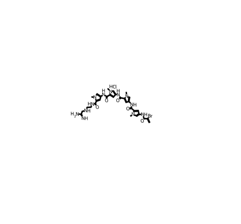 C=C(Br)C(=O)Nc1cc(C(=O)Nc2cc(C(=O)Nc3cc(C(=O)Nc4cc(C(=O)NCCNCC(=N)N)n(C)c4)n(C)c3)n(C)c2)n(C)c1.Cl